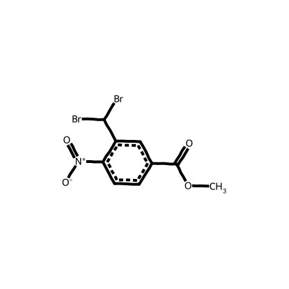 COC(=O)c1ccc([N+](=O)[O-])c(C(Br)Br)c1